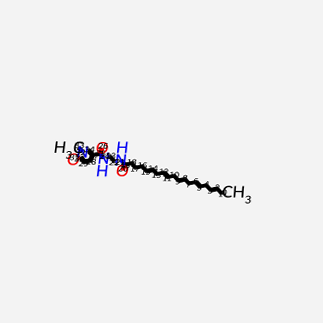 CCC=CCC=CCC=CCC=CCC=CCCCC(=O)NCCNC(=O)c1ccc(=O)n(C)c1